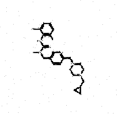 CN(Cc1ccc(CN2CCN(CC3CC3)CC2)nc1)C(=O)Nc1c(Cl)cccc1Cl